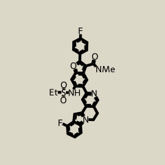 CCS(=O)(=O)Nc1cc2oc(-c3ccc(F)cc3)c(C(=O)NC)c2cc1-c1cc2c(cn1)CCn1c-2cc2c(F)cccc21